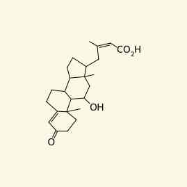 C/C(=C/C(=O)O)CC1CCC2C3CCC4=CC(=O)CCC4(C)C3C(O)CC12C